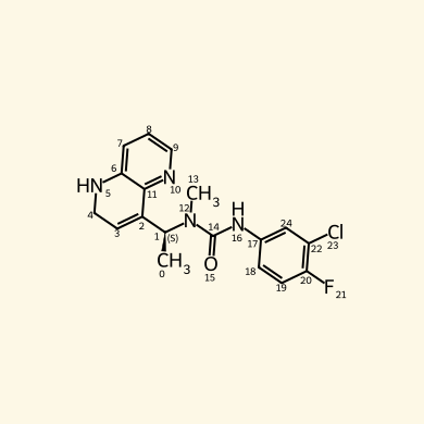 C[C@@H](C1=CCNc2cccnc21)N(C)C(=O)Nc1ccc(F)c(Cl)c1